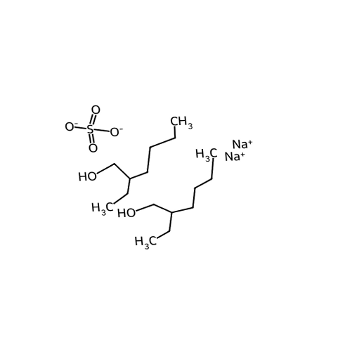 CCCCC(CC)CO.CCCCC(CC)CO.O=S(=O)([O-])[O-].[Na+].[Na+]